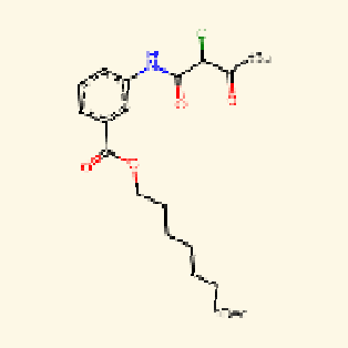 CCCCCCCCCCCCCCCCOC(=O)c1cccc(NC(=O)C(Cl)C(=O)C(C)(C)C)c1